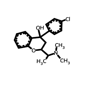 CC(C1CC(O)(c2ccc(Cl)cc2)c2ccccc2O1)N(C)C